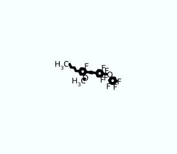 CCCCCc1cc(F)c(C#Cc2cc(F)c(C(F)(F)Oc3cc(F)c(F)c(F)c3)c(F)c2)c(OC)c1